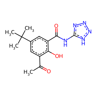 CC(=O)c1cc(C(C)(C)C)cc(C(=O)Nc2nnn[nH]2)c1O